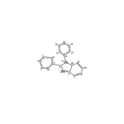 C1=CC2=NC(c3ccccc3)N(c3ccccc3)C2C=C1